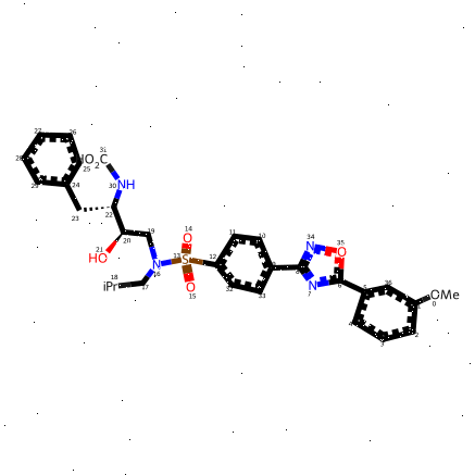 COc1cccc(-c2nc(-c3ccc(S(=O)(=O)N(CC(C)C)C[C@@H](O)[C@H](Cc4ccccc4)NC(=O)O)cc3)no2)c1